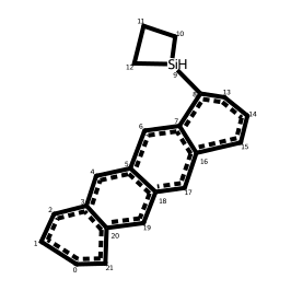 c1ccc2cc3cc4c([SiH]5CCC5)cccc4cc3cc2c1